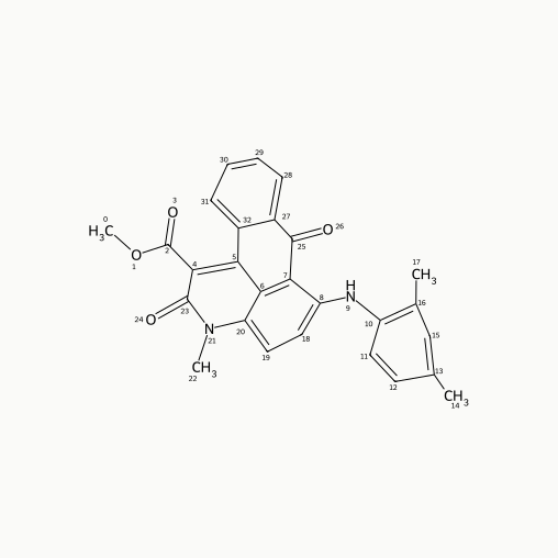 COC(=O)c1c2c3c(c(Nc4ccc(C)cc4C)ccc3n(C)c1=O)C(=O)c1ccccc1-2